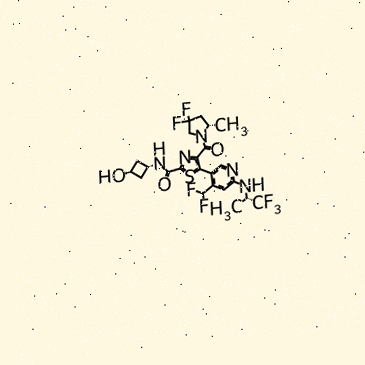 C[C@H](Nc1cc(C(F)F)c(-c2sc(C(=O)N[C@H]3C[C@H](O)C3)nc2C(=O)N2CC(F)(F)C[C@@H]2C)cn1)C(F)(F)F